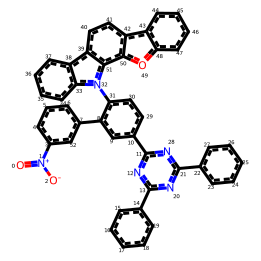 O=[N+]([O-])c1cccc(-c2cc(-c3nc(-c4ccccc4)nc(-c4ccccc4)n3)ccc2-n2c3ccccc3c3ccc4c5ccccc5oc4c32)c1